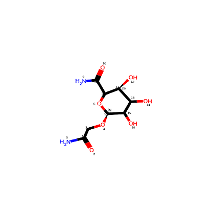 NC(=O)CO[C@H]1OC(C(N)=O)[C@@H](O)C(O)C1O